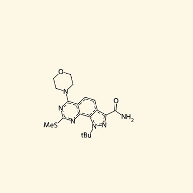 CSc1nc(N2CCOCC2)c2ccc3c(C(N)=O)nn(C(C)(C)C)c3c2n1